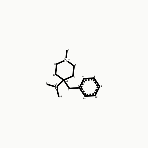 CN1CCC(Cc2ccccc2)(N(C)C)CC1